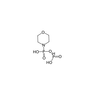 O=[PH](O)OP(=O)(O)N1CCOCC1